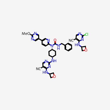 COc1ncc(-c2ccc(N(C(=O)NCc3ccccc3)[C@H]3CC[C@H](Nc4ncc(C#N)c(NC5COC5)n4)CC3)nc2)cn1.N#Cc1cnc(Cl)nc1NC1COC1